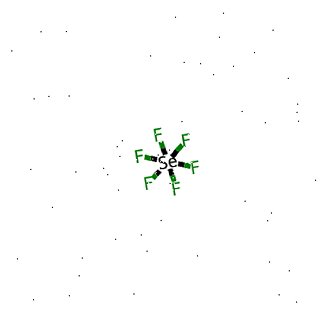 F[Se](F)(F)(F)(F)F